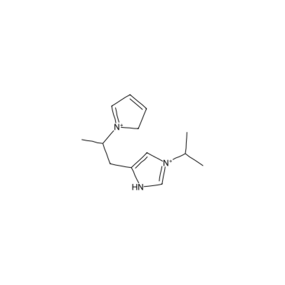 CC(Cc1c[n+](C(C)C)c[nH]1)[N+]1=CC=CC1